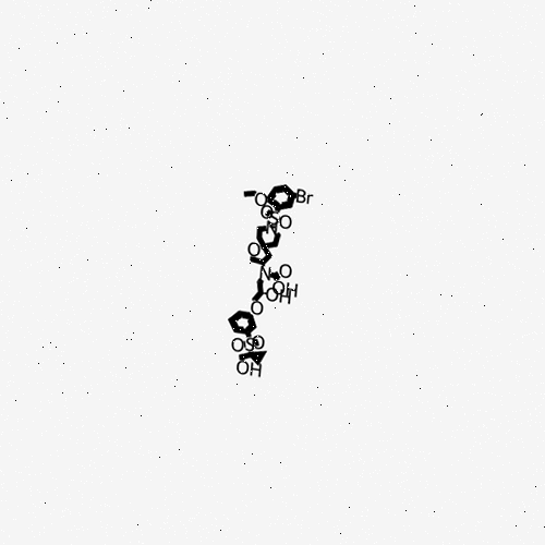 CCOc1ccc(Br)cc1S(=O)(=O)N1CCC2(CC1)C[C@@H](N(C[C@H](O)COc1cccc(S(=O)(=O)C3(CO)CC3)c1)C(=O)O)CO2